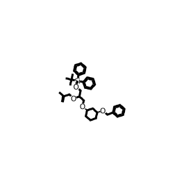 C=C(C)COC(CO[C@@H]1CCC[C@H](OCc2ccccc2)C1)CO[Si](c1ccccc1)(c1ccccc1)C(C)(C)C